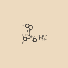 CCCN(CCC)C(=O)Cc1cccc(N[C@@H](Cc2cc(F)cc(F)c2)[C@H](O)CN[C@H]2CCCc3ccc(CC)cc32)c1